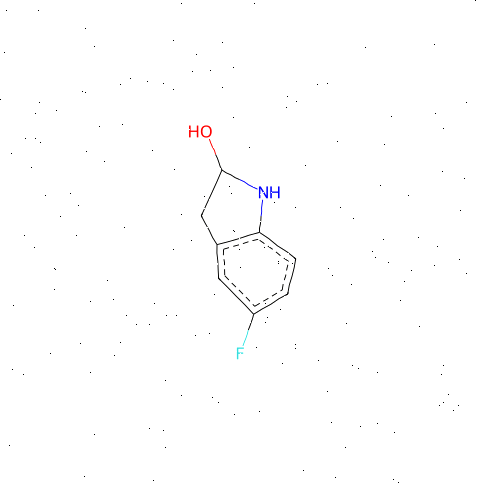 OC1Cc2cc(F)ccc2N1